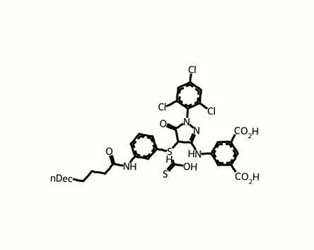 CCCCCCCCCCCCCC(=O)Nc1cccc([SH](C(O)=S)C2C(=O)N(c3c(Cl)cc(Cl)cc3Cl)N=C2Nc2cc(C(=O)O)cc(C(=O)O)c2)c1